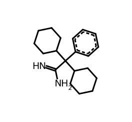 N=C(N)C(c1ccccc1)(C1CCCCC1)C1CCCCC1